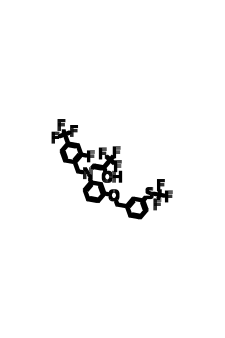 OC(=CN(Cc1ccc(C(F)(F)F)cc1F)c1cccc(OCc2cccc(SC(F)(F)F)c2)c1)C(F)(F)F